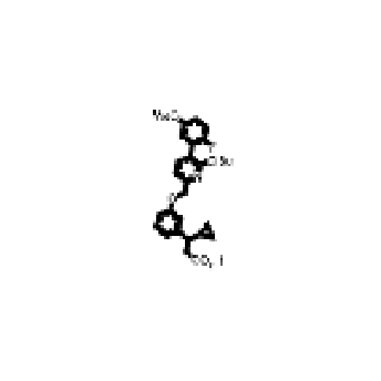 COc1ccc(F)c(-c2ccc(COc3cccc(C(CC(=O)O)C4CC4)c3)nc2OCC(C)C)c1